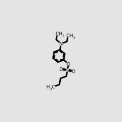 CCCCS(=O)(=O)Oc1cccc(N(CC)CC)c1